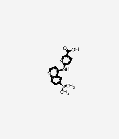 CN(C)c1ccc2nccc(Nc3ccc(C(=O)O)cn3)c2c1